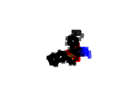 C=CC(c1ccc2ccccc2c1)S(=O)(=O)C(Cc1ccc([N+](=O)[O-])cc1)(C(N)=O)C(N)=O